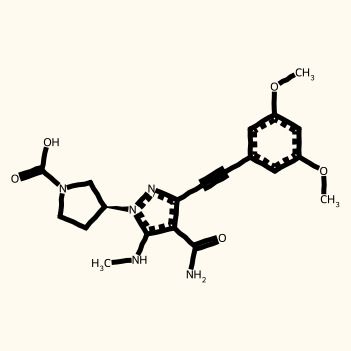 CNc1c(C(N)=O)c(C#Cc2cc(OC)cc(OC)c2)nn1[C@H]1CCN(C(=O)O)C1